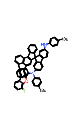 CC(C)(C)c1ccc(Nc2ccc3c(c2)C2(c4cc(N(c5ccc(C(C)(C)C)cc5)c5cccc6c5oc5c(F)cccc56)ccc4-3)c3ccccc3-c3c2cc2c4c(cccc34)-c3ccccc3-2)cc1